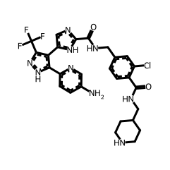 Nc1ccc(-c2[nH]nc(C(F)(F)F)c2-c2cnc(C(=O)NCc3ccc(C(=O)NCC4CCNCC4)c(Cl)c3)[nH]2)nc1